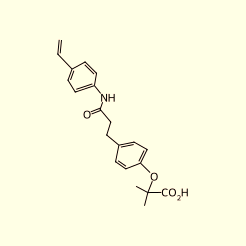 C=Cc1ccc(NC(=O)CCc2ccc(OC(C)(C)C(=O)O)cc2)cc1